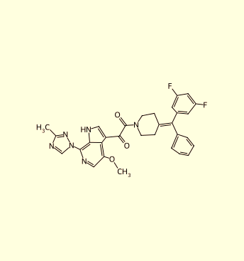 COc1cnc(-n2cnc(C)n2)c2[nH]cc(C(=O)C(=O)N3CCC(=C(c4ccccc4)c4cc(F)cc(F)c4)CC3)c12